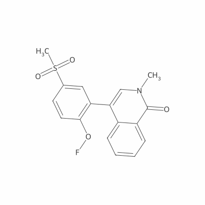 Cn1cc(-c2cc(S(C)(=O)=O)ccc2OF)c2ccccc2c1=O